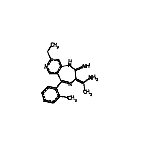 CCc1cc2c(cn1)C(c1ccccc1C)=N/C(=C(\C)N)C(=N)N2